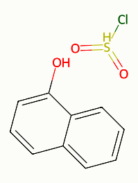 O=[SH](=O)Cl.Oc1cccc2ccccc12